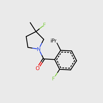 CC(C)c1cccc(F)c1C(=O)N1CCC(C)(F)C1